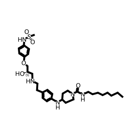 CCCCCCCCNC(=O)N1CCC(Nc2ccc(CCNC[C@H](O)COc3ccc(NS(C)(=O)=O)cc3)cc2)CC1